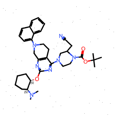 CN(C)[C@H]1CCCC[C@@H]1Oc1nc2c(c(N3CCN(C(=O)OC(C)(C)C)C(CC#N)C3)n1)CCN(c1cccc3ccccc13)C2